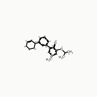 CC(C)Oc1cn(C)cc(-c2cccc(C3C=CCCC3)c2)c1=O